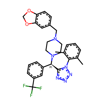 Cc1cccc(C)c1-n1nnnc1[C@@H](c1cccc(C(F)(F)F)c1)N1CCN(Cc2ccc3c(c2)OCO3)CC1